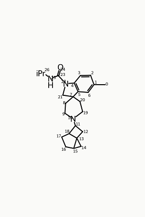 Cc1ccc2c(c1)C1(CCN(C3CC45CC4CCC35)CC1)CN2C(=O)NC(C)C